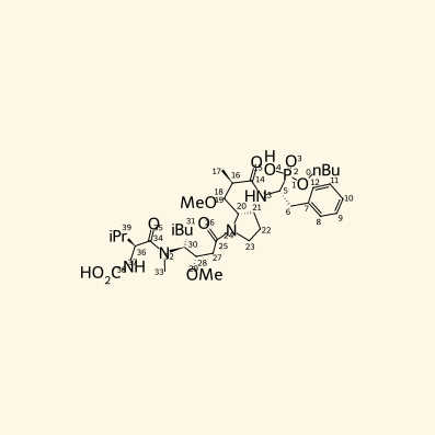 CCCCOP(=O)(O)[C@H](Cc1ccccc1)NC(=O)[C@H](C)[C@@H](OC)[C@@H]1CCCN1C(=O)C[C@H](OC)[C@H]([C@@H](C)CC)N(C)C(=O)[C@@H](NC(=O)O)C(C)C